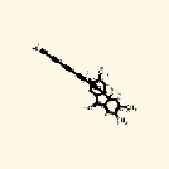 C#CC#CC#CC#CC#CC12CC(C)=C(C)CC1C(=O)C1=CC(C)=C(C)CC12C